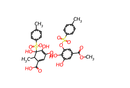 COC(=O)c1cc(O)c(O)c(OS(=O)(=O)c2ccc(C)cc2)c1.Cc1ccc(S(=O)(=O)C2(O)C(O)=C(O)C=C(C(=O)O)C2C)cc1